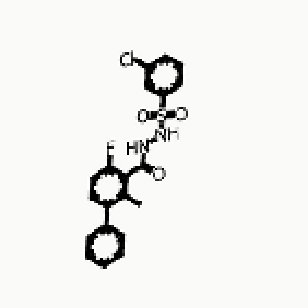 Cc1c(-c2ccccc2)ccc(F)c1C(=O)NNS(=O)(=O)c1cccc(Cl)c1